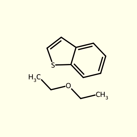 CCOCC.c1ccc2sccc2c1